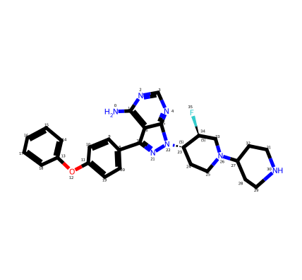 Nc1ncnc2c1c(-c1ccc(Oc3ccccc3)cc1)nn2[C@H]1CCN(C2CCNCC2)C[C@@H]1F